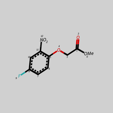 COC(=O)COc1ccc(F)cc1[N+](=O)[O-]